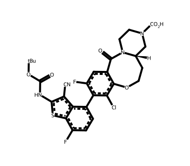 CC(C)(C)OC(=O)Nc1sc2c(F)ccc(-c3c(F)cc4c(c3Cl)OCC[C@H]3CN(C(=O)O)CCN3C4=O)c2c1C#N